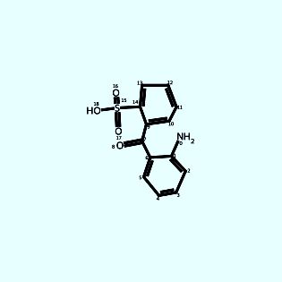 Nc1ccccc1C(=O)c1ccccc1S(=O)(=O)O